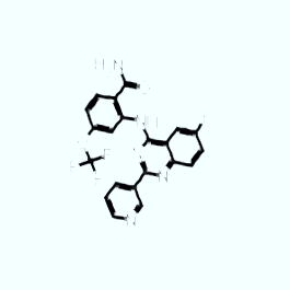 NC(=O)c1ccc(OC(F)(F)F)cc1Nc1nc(-c2cccnc2)nc2ccc(F)cc12